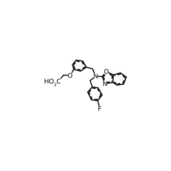 O=C(O)COc1cccc(CN(Cc2ccc(F)cc2)c2nc3ccccc3o2)c1